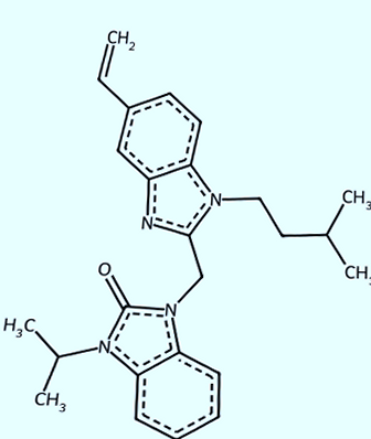 C=Cc1ccc2c(c1)nc(Cn1c(=O)n(C(C)C)c3ccccc31)n2CCC(C)C